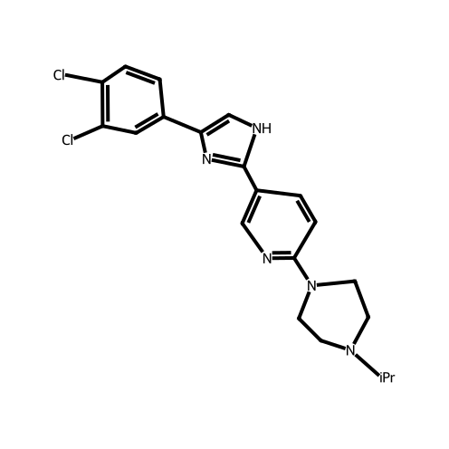 CC(C)N1CCN(c2ccc(-c3nc(-c4ccc(Cl)c(Cl)c4)c[nH]3)cn2)CC1